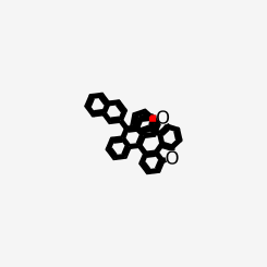 c1ccc2cc(-c3c4ccccc4c(-c4cccc5oc6ccc7oc8ccccc8c7c6c45)c4ccccc34)ccc2c1